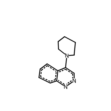 c1ccc2c(N3CCCCC3)cnnc2c1